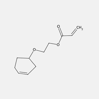 C=CC(=O)OCCOC1CC=CCC1